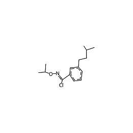 CC(C)CCc1cccc(C(Cl)=NOC(C)C)c1